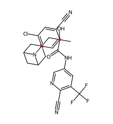 CC(O)(CN1CC2CC(C1)N2c1ccc(C#N)cc1Cl)C(=O)Nc1cnc(C#N)c(C(F)(F)F)c1